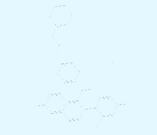 Cl.Oc1ccc2c3c(ccc2c1)-c1c(F)cc(F)cc1OC3c1ccc(OCCN2CCCCC2)cc1